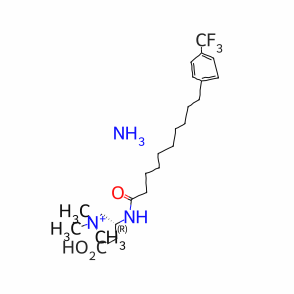 C[N+](C)(C)C[C@@H](CC(=O)O)NC(=O)CCCCCCCCCc1ccc(C(F)(F)F)cc1.N